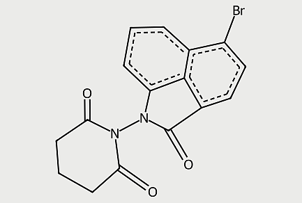 O=C1CCCC(=O)N1N1C(=O)c2ccc(Br)c3cccc1c23